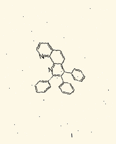 c1ccc(-c2nc3c(ccc4cccnc43)c(-c3ccccc3)c2-c2ccccc2)cc1